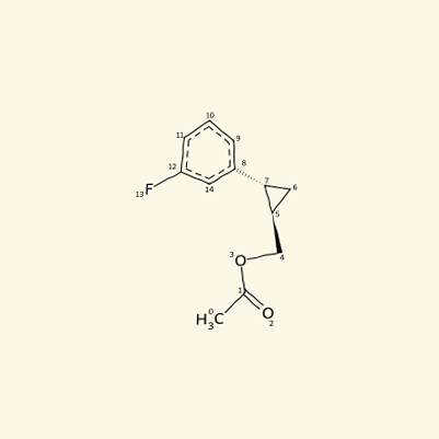 CC(=O)OC[C@@H]1C[C@H]1c1cccc(F)c1